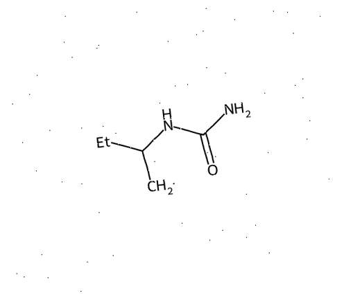 [CH2]C(CC)NC(N)=O